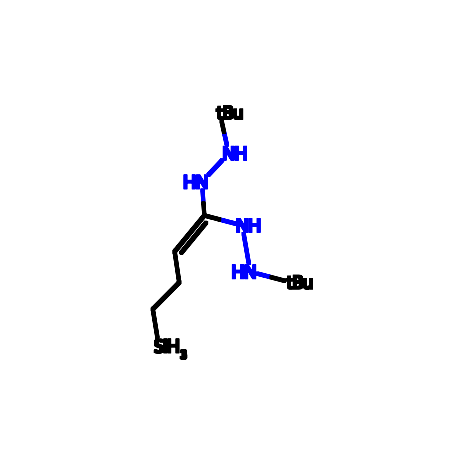 CC(C)(C)NNC(=CCC[SiH3])NNC(C)(C)C